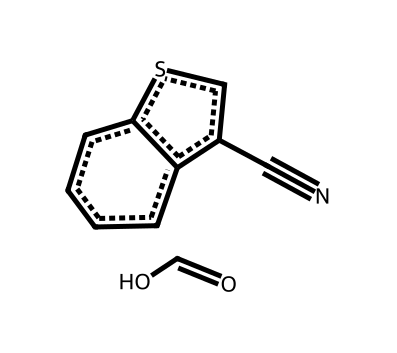 N#Cc1csc2ccccc12.O=CO